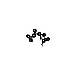 N#Cc1ccc2c(c1)c1ccccc1n2-c1cccc(-c2ccc(-n3c4ccccc4c4cc(-n5c6ccccc6c6ccccc65)ccc43)cc2C#N)c1